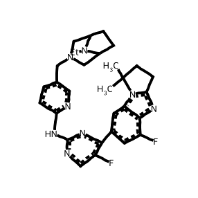 CCN1C2CCC1CN(Cc1ccc(Nc3ncc(F)c(-c4cc(F)c5nc6n(c5c4)C(C)(C)CC6)n3)nc1)C2